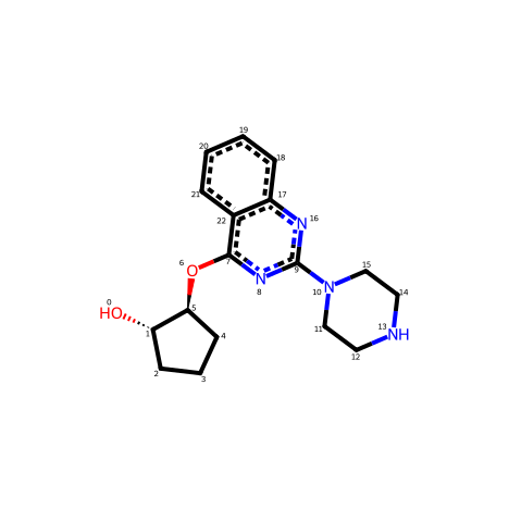 O[C@H]1CCC[C@@H]1Oc1nc(N2CCNCC2)nc2ccccc12